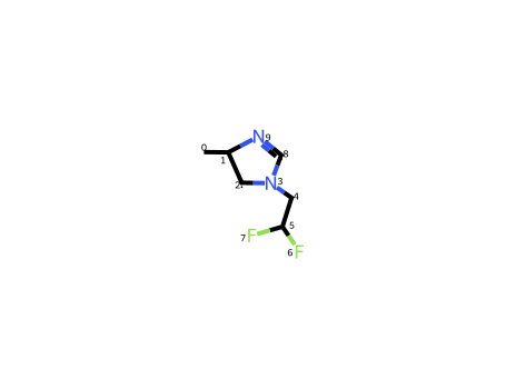 CC1[CH]N(CC(F)F)[C]=N1